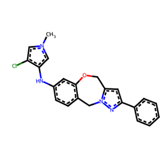 Cn1cc(Cl)c(Nc2ccc3c(c2)OCc2cc(-c4ccccc4)nn2C3)c1